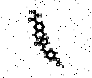 O=C(NO)c1ccc2c(c1)CC[C@@]1(CCN(Cc3ccc(OC(F)(F)F)cc3)C1=O)C2